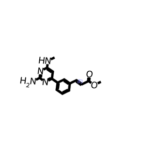 CNc1cc(-c2cccc(/C=C/C(=O)OC)c2)nc(N)n1